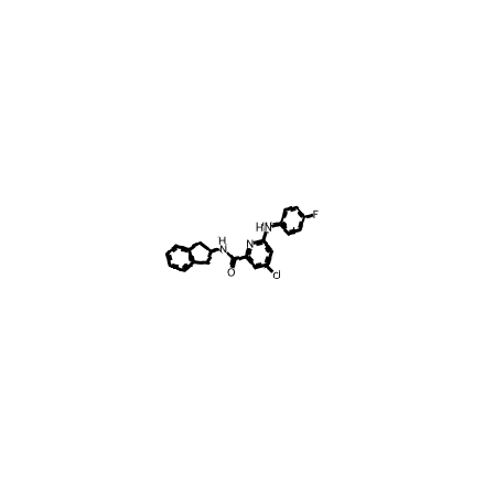 O=C(NC1Cc2ccccc2C1)c1cc(Cl)cc(Nc2ccc(F)cc2)n1